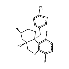 C[C@H]1CC[C@@]2(Cc3ccc(C(F)(F)F)cc3)c3c(F)ccc(F)c3OC[C@]2(O)C1